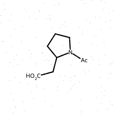 CC(=O)N1CCCC1CC(=O)O